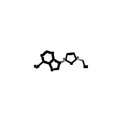 Nc1ncnc2c1ncn2[C@@H]1C=C[C@H](CO)O1